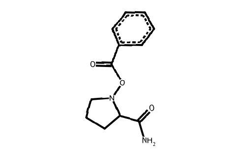 NC(=O)C1CCCN1OC(=O)c1ccccc1